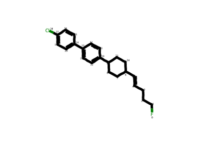 FCCCC=CC1CCC(c2ccc(-c3ccc(Cl)cc3)cc2)CC1